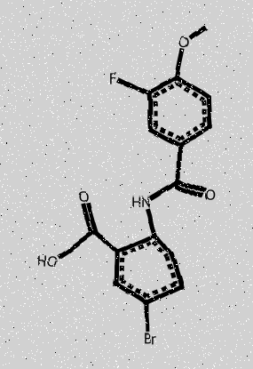 COc1ccc(C(=O)Nc2ccc(Br)cc2C(=O)O)cc1F